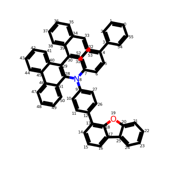 c1ccc(-c2ccc(N(c3ccc(-c4cccc5c4oc4ccccc45)cc3)c3c(-c4cccc5ccccc45)c4ccccc4c4ccccc34)cc2)cc1